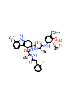 CCOP(=O)(OCC)Oc1cc(NC(=O)[C@@H](NC(=O)[C@@]2(NC(=O)[C@@H](NC(=O)Cc3ccccc3F)C(C)CC)CCc3[nH]c4c(C(F)(F)F)cccc4c3C2)C(C)CC)ccc1OC